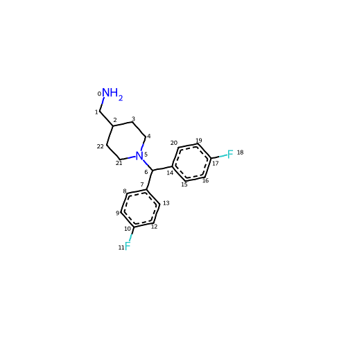 NCC1CCN(C(c2ccc(F)cc2)c2ccc(F)cc2)CC1